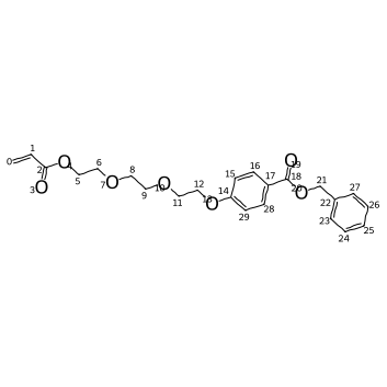 C=CC(=O)OCCOCCOCCOc1ccc(C(=O)OCc2ccccc2)cc1